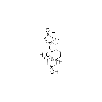 C[C@]12CC[C@@H](O)C[C@@H]1CCC1C3CC[C@@H]4C(=O)C=C[C@]34CCC12